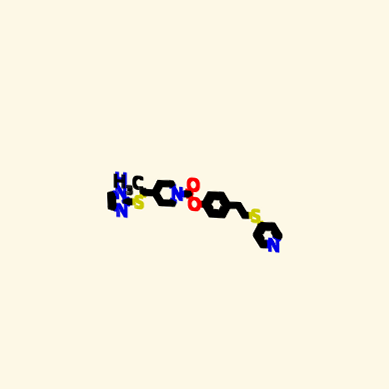 CC(Sc1ncc[nH]1)C1CCN(C(=O)Oc2ccc(CCSc3ccncc3)cc2)CC1